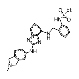 CCS(=O)(=O)Nc1ccccc1CNc1cccn2nc(Nc3ccc4c(c3)CN(C)C4)nc12